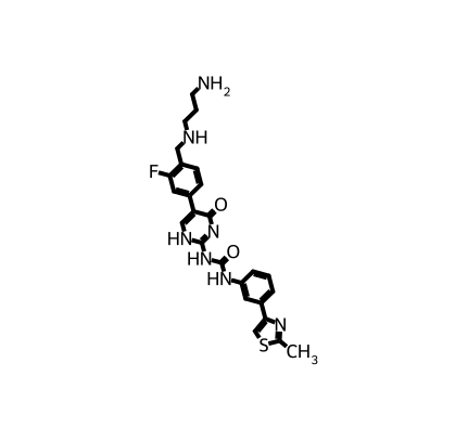 Cc1nc(-c2cccc(NC(=O)Nc3nc(=O)c(-c4ccc(CNCCCN)c(F)c4)c[nH]3)c2)cs1